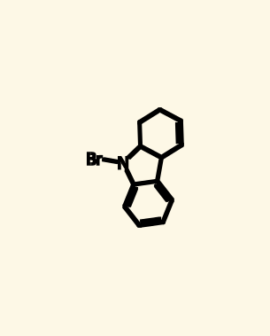 BrN1c2ccccc2C2C=CCCC21